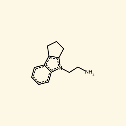 NCCn1c2c(c3ccccc31)CCC2